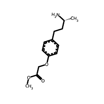 COC(=O)COc1ccc(CC[C@@H](C)N)cc1